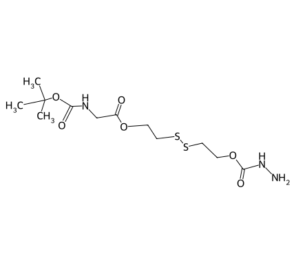 CC(C)(C)OC(=O)NCC(=O)OCCSSCCOC(=O)NN